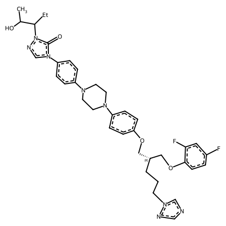 CCC(C(C)O)n1ncn(-c2ccc(N3CCN(c4ccc(OC[C@@H](CCCn5cncn5)COc5ccc(F)cc5F)cc4)CC3)cc2)c1=O